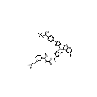 C=N/C(=C(\C=C/C)COCCNC)N(C)C(=O)OC(C)[n+]1cnn(CC(O)(c2cc(F)ccc2F)[C@@H](C)c2nc(-c3ccc(C(=N)OC(C)(C)C)cc3)cs2)c1